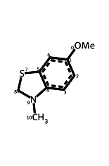 COc1ccc2c(c1)S[CH]N2C